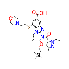 CCCn1c(N(COCC[Si](C)(C)C)C(=O)c2cc(C)nn2CC)nc2cc(C(=O)O)cc(SCCN3CCOCC3)c21